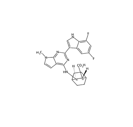 Cn1ccc2c(N[C@@H]3C4CCC(CC4)[C@H]3C(=O)O)nc(-c3c[nH]c4c(F)cc(F)cc34)nc21